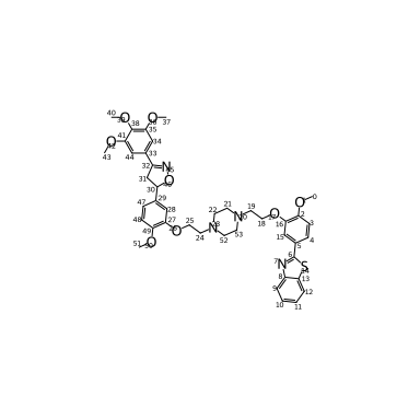 COc1ccc(-c2nc3ccccc3s2)cc1OCCN1CCN(CCOc2cc(C3CC(c4cc(OC)c(OC)c(OC)c4)=NO3)ccc2OC)CC1